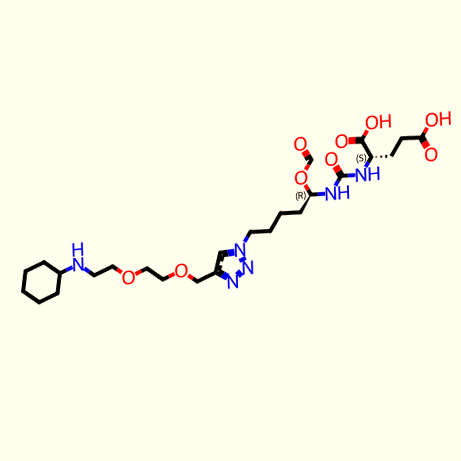 O=CO[C@H](CCCCn1cc(COCCOCCNC2CCCCC2)nn1)NC(=O)N[C@@H](CCC(=O)O)C(=O)O